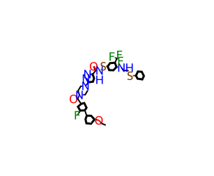 CCOc1cccc(-c2ccc(C(=O)N3CCN(c4ccc(C(=O)NSc5ccc(NCCSc6ccccc6)c(C(F)(F)F)c5)nn4)CC3)cc2F)c1